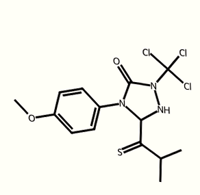 COc1ccc(N2C(=O)N(C(Cl)(Cl)Cl)NC2C(=S)C(C)C)cc1